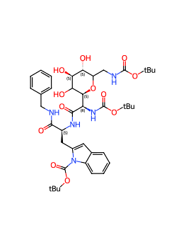 CC(C)(C)OC(=O)NCC1O[C@@H]([C@@H](NC(=O)OC(C)(C)C)C(=O)N[C@@H](Cc2cc3ccccc3n2C(=O)OC(C)(C)C)C(=O)NCc2ccccc2)C(O)[C@@H](O)[C@@H]1O